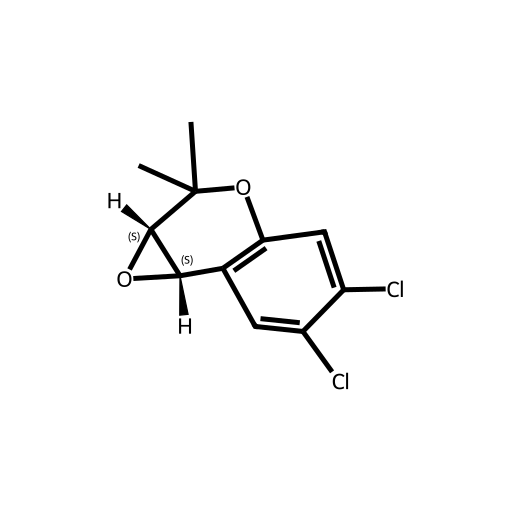 CC1(C)Oc2cc(Cl)c(Cl)cc2[C@@H]2O[C@@H]21